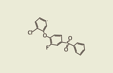 O=S(=O)(c1ccccc1)c1ccc(Oc2c[c]ccc2Cl)c(F)c1